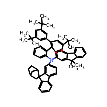 CC(C)(C)c1cc(-c2cc(C(C)(C)C)ccc2-c2ccccc2N(c2ccc3c(c2)C(C)(C)c2ccccc2-3)c2ccc3c(c2)C2(CC4CCC2C4)c2ccccc2-3)cc(C(C)(C)C)c1